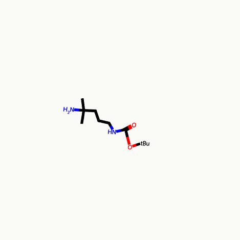 CC(C)(N)CCCNC(=O)OC(C)(C)C